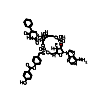 Nc1ncnc2c1ncn2[C@@H]1O[C@@H]2COP(=O)(SCc3ccc(OC(=O)c4ccc(O)cc4)cc3)O[C@@H]3[C@H](F)[C@@H](COP(=O)(O)O[C@@H]1[C@@H]2F)O[C@H]3n1cc(-c2ccccc2)c(=O)[nH]c1=O